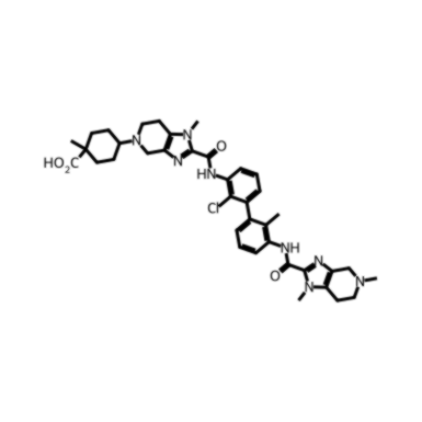 Cc1c(NC(=O)c2nc3c(n2C)CCN(C)C3)cccc1-c1cccc(NC(=O)c2nc3c(n2C)CCN(C2CCC(C)(C(=O)O)CC2)C3)c1Cl